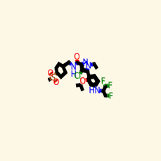 CCn1nc(C(=O)NCC2CCC(S(C)(=O)=O)CC2)c(Cl)c1-c1ccc(NC(CF)C(F)F)cc1OC(C)C